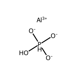 [Al+3].[O-][PH]([O-])([O-])O